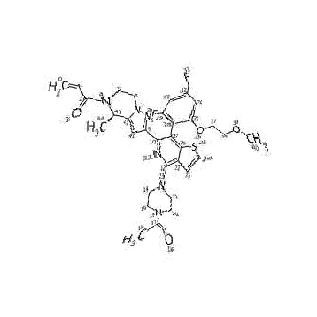 C=CC(=O)N1CCn2nc(-c3nc(N4CCN(C(C)=O)CC4)c4ccsc4c3-c3c(F)cc(F)cc3OCCOC)cc2[C@H]1C